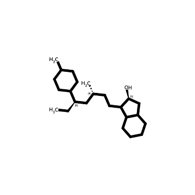 CC[C@H](C[C@H](C)CCC1C2CCCCC2C[C@@H]1O)C1CCC(C)CC1